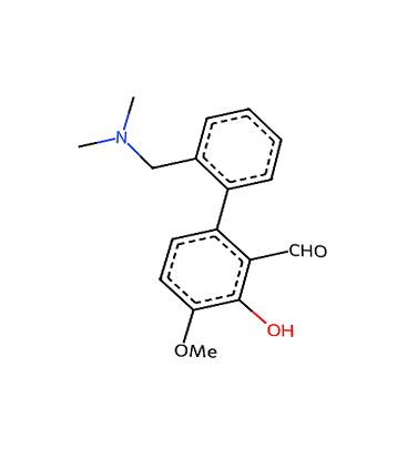 COc1ccc(-c2ccccc2CN(C)C)c(C=O)c1O